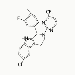 Cc1ccc(C2c3[nH]c4ccc(Cl)cc4c3CCN2c2nccc(C(F)(F)F)n2)cc1F